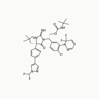 CC(C)(C)C[C@]1(c2ccc(-c3cnn(C(F)F)c3)cc2)NC(=N)N([C@H](COC(=O)NC(C)(C)C)c2ccc(Cl)c(N3N=CN=CC3(F)F)c2)C1=O